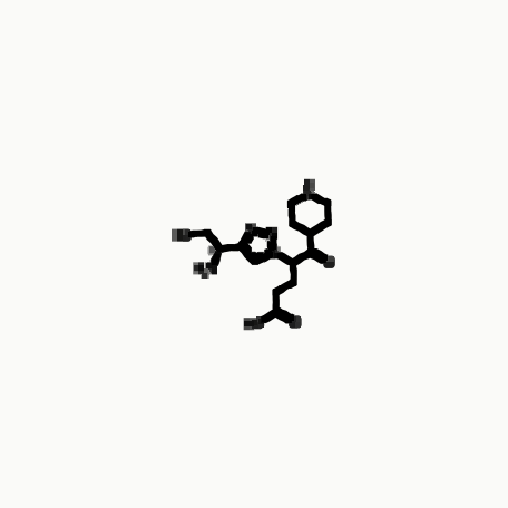 N[C@@H](CO)c1cn(C(CCC(=O)O)C(=O)C2CCNCC2)nn1